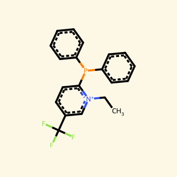 CC[n+]1cc(C(F)(F)F)ccc1P(c1ccccc1)c1ccccc1